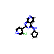 Clc1cnccc1-c1nc(NC2CCCC2)c2ccncc2n1